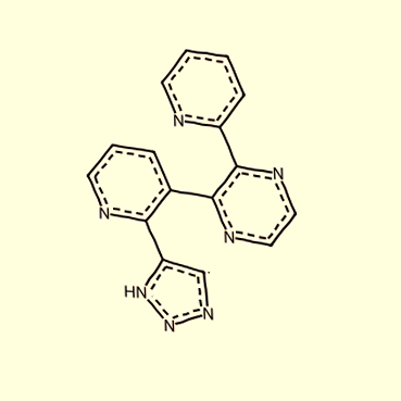 [c]1nn[nH]c1-c1ncccc1-c1nccnc1-c1ccccn1